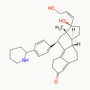 C[C@]12C[C@H](c3ccc(C4CCCCN4)cc3)C3=C4CCC(=O)C=C4CC[C@H]3[C@@H]1CC[C@@]2(O)/C=C\CO